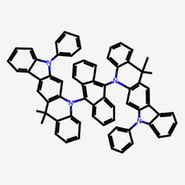 CC1(C)c2ccccc2N(c2c3ccccc3c(N3c4ccccc4C(C)(C)c4cc5c6ccccc6n(-c6ccccc6)c5cc43)c3ccccc23)c2cc3c(cc21)c1ccccc1n3-c1ccccc1